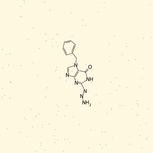 NN=Nc1nc2ncn(Cc3ccccc3)c2c(=O)[nH]1